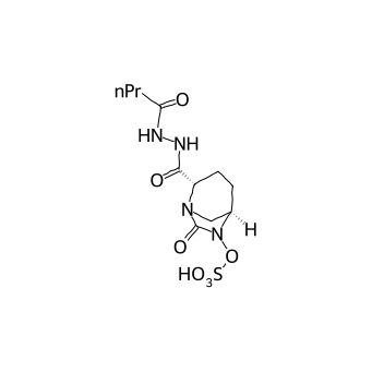 CCCC(=O)NNC(=O)[C@@H]1CC[C@@H]2CN1C(=O)N2OS(=O)(=O)O